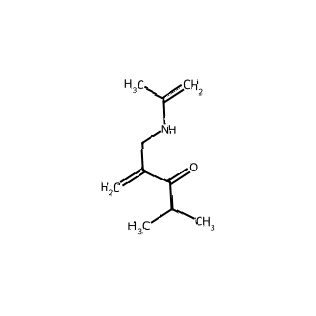 C=C(C)NCC(=C)C(=O)C(C)C